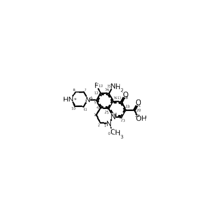 CN1CCc2c(N3CCNCC3)c(F)c(N)c3c(=O)c(C(=O)O)cn1c23